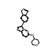 C1=NCc2cc(-c3cnc4ccc(OC5CCOCC5)nn34)ccc21